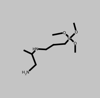 CO[Si](CCCNC(C)CN)(OC)OC